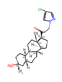 C[C@@]1(O)CC[C@H]2[C@H](CC[C@@H]3[C@@H]2CC[C@]2(C)[C@@H](C(=O)Cn4cc(Cl)cn4)CC[C@@H]32)C1